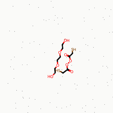 O=C(CS)OOC(=O)CS.OCCOCCOCCO